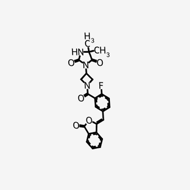 CC1(C)NC(=O)N(C2CN(C(=O)c3cc(C=C4OC(=O)c5ccccc54)ccc3F)C2)C1=O